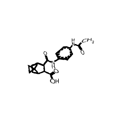 CC(=O)Nc1ccc(NC(=O)C2C(C(=O)O)C3CCC2C32CC2)cc1